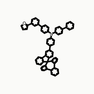 c1ccc(-c2ccc(N(c3ccc(-c4cccc(-c5ccco5)c4)cc3)c3ccc(-c4ccc5c(c4)-c4ccccc4C54c5ccccc5-c5ccccc5-c5ccccc54)cc3)cc2)cc1